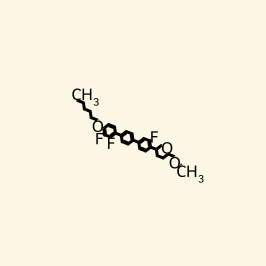 CCCCCCCOc1ccc(-c2ccc(-c3ccc(C4CCC(COCC)OC4)c(F)c3)cc2)c(F)c1F